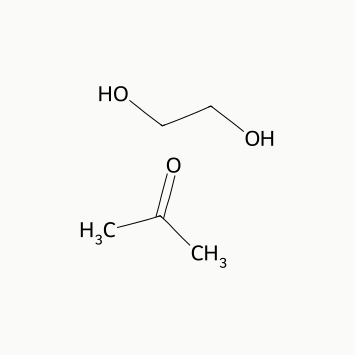 CC(C)=O.OCCO